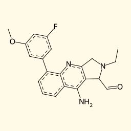 CCN1Cc2nc3c(-c4cc(F)cc(OC)c4)cccc3c(N)c2C1C=O